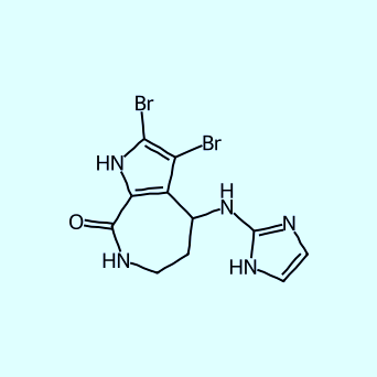 O=C1NCCC(Nc2ncc[nH]2)c2c1[nH]c(Br)c2Br